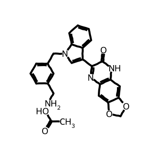 CC(=O)O.NCc1cccc(Cn2cc(-c3nc4cc5c(cc4[nH]c3=O)OCO5)c3ccccc32)c1